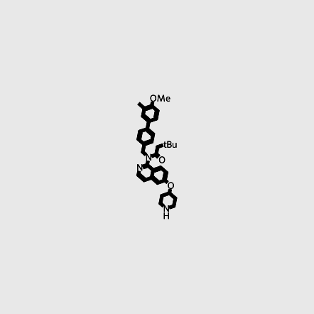 COc1ccc(-c2ccc(CN(C(=O)CC(C)(C)C)c3nccc4cc(OC5CCNCC5)ccc34)cc2)cc1C